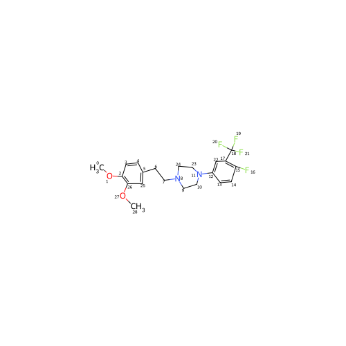 COc1ccc(CCN2CCN(c3ccc(F)c(C(F)(F)F)c3)CC2)cc1OC